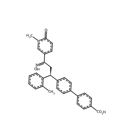 Cc1ccccc1[C@@H](C/C(=N\O)c1ccc(=O)n(C)c1)c1ccc(-c2ccc(C(=O)O)cc2)cc1